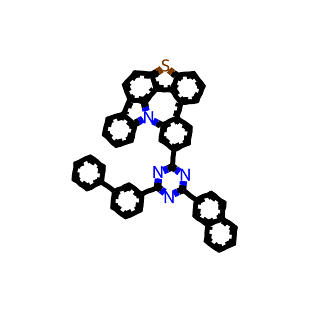 c1ccc(-c2cccc(-c3nc(-c4ccc5ccccc5c4)nc(-c4ccc5c6cccc7sc8ccc9c%10ccccc%10n(c5c4)c9c8c76)n3)c2)cc1